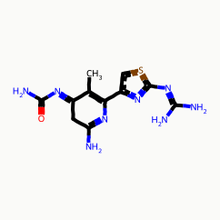 CC1=C(c2csc(N=C(N)N)n2)N=C(N)CC1=NC(N)=O